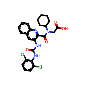 O=C(O)CN(C(=O)c1nc2ccccc2cc1NC(=O)Nc1c(Cl)cccc1Cl)C1CCCCC1